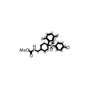 COC(=O)NCC1CCC(c2cc(F)ccc2F)(S(=O)(=O)c2ccc(Cl)cc2)CC1